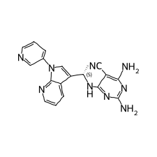 C[C@H](Nc1nc(N)nc(N)c1C#N)c1cn(-c2cccnc2)c2ncccc12